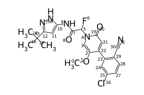 COc1cn(C(F)C(=O)Nc2cc(C(C)(C)C)n[nH]2)c(=O)cc1-c1cc(Cl)ccc1C#N